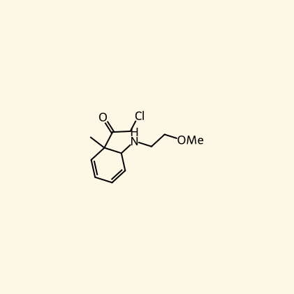 COCCNC1C=CC=CC1(C)C(=O)CCl